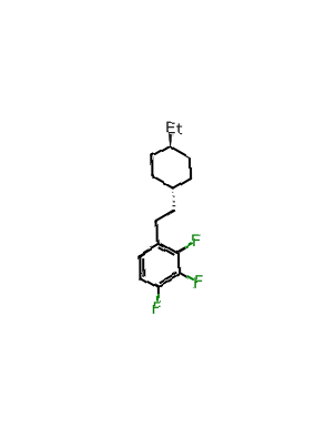 CC[C@H]1CC[C@H](CCc2ccc(F)c(F)c2F)CC1